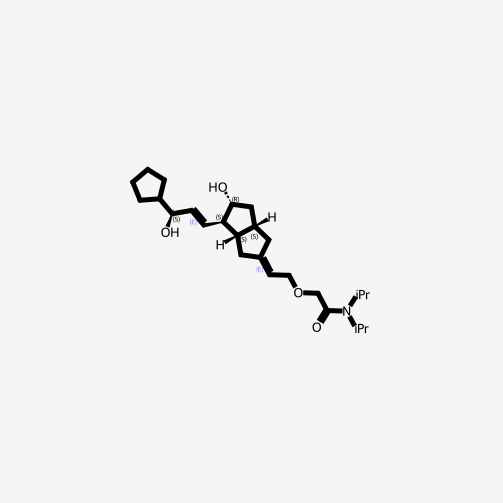 CC(C)N(C(=O)COC/C=C1\C[C@H]2C[C@@H](O)[C@H](/C=C/[C@@H](O)C3CCCC3)[C@H]2C1)C(C)C